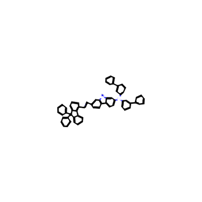 Cn1c2cc(/C=C/c3cccc4c3-c3ccccc3C4(c3ccccc3)c3ccccc3)ccc2c2ccc(N(c3cccc(-c4ccccc4)c3)c3cccc(-c4ccccc4)c3)cc21